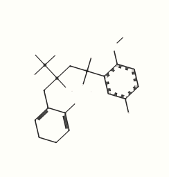 COc1ccc(F)cc1C(C)(C)CC(O)(CC1=CC[CH]C=C1Cl)C(F)(F)F